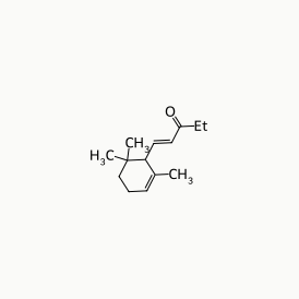 CCC(=O)C=CC1C(C)=CCCC1(C)C